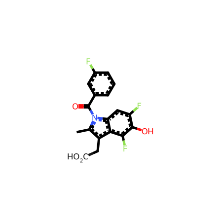 Cc1c(CC(=O)O)c2c(F)c(O)c(F)cc2n1C(=O)c1cccc(F)c1